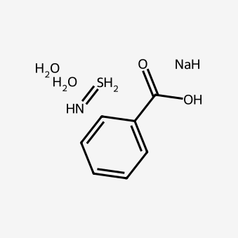 N=[SH2].O.O.O=C(O)c1ccccc1.[NaH]